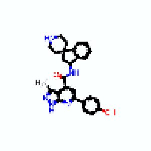 Cc1n[nH]c2nc(-c3ccc(O)cc3)cc(C(=O)NC3CC4(CCNCC4)c4ccccc43)c12